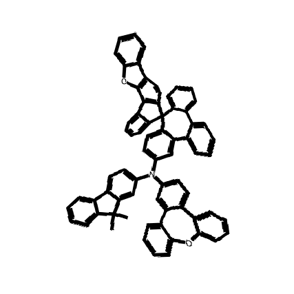 CC1(C)c2ccccc2-c2ccc(N(c3ccc4c(c3)-c3ccccc3Oc3ccccc3-4)c3ccc4c(c3)-c3ccccc3-c3ccccc3C43c4ccccc4-c4c3ccc3c4oc4ccccc43)cc21